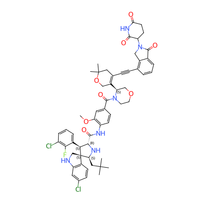 COc1cc(C(=O)N2CCOC[C@@H]2C2=C(C#Cc3cccc4c3CN(C3CCC(=O)NC3=O)C4=O)CC(C)(C)OC2)ccc1NC(=O)[C@@H]1N[C@@H](CC(C)(C)C)[C@@]2(CNc3cc(Cl)ccc32)[C@H]1c1cccc(Cl)c1F